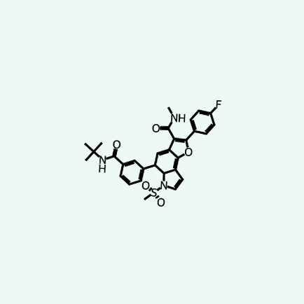 CNC(=O)c1c(-c2ccc(F)cc2)oc2c1=CC(c1cccc(C(=O)NC(C)(C)C)c1)C1C=2C=CN1S(C)(=O)=O